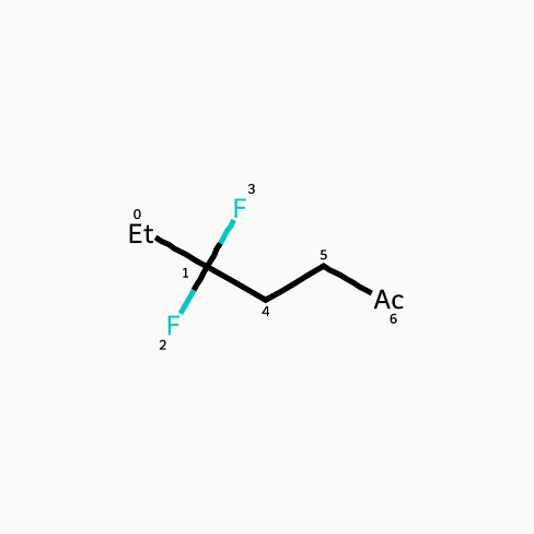 CCC(F)(F)CCC(C)=O